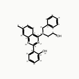 Cc1ccc2c(N(CCO)Cc3ccccc3)nc(-c3ccccc3O)nc2c1